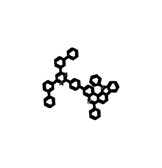 c1ccc(-c2cccc(-c3cc(-c4cccc(-c5ccccc5)c4)nc(-c4ccc(-c5ccc6c(c5)nc(-c5ccccc5)c5ccc7c8ccccc8n(-c8ccccc8)c7c56)cc4)n3)c2)cc1